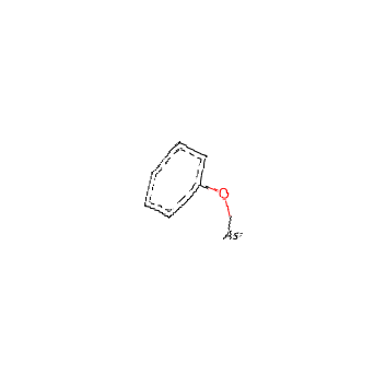 [As]Oc1ccccc1